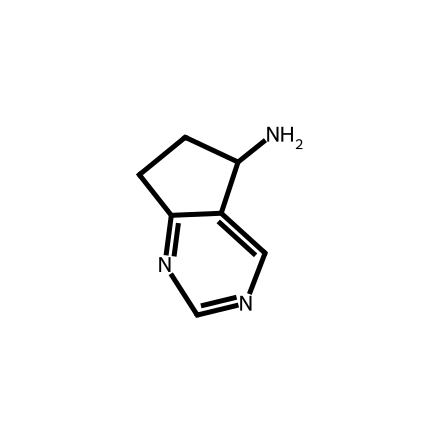 NC1CCc2ncncc21